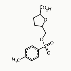 Cc1ccc(S(=O)(=O)OCC2CCC(C(=O)O)O2)cc1